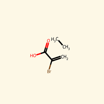 C=C(Br)C(=O)O.CC